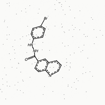 O=C(NNc1ccc(Br)cc1)c1ccc2ncccc2c1